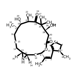 C/C(=C/C1=CSCN1C)[C@@H]1C[C@@H]2N[C@@H]2CCC[C@H](C)[C@H](O)[C@@H](C)C(=O)C(C)(C)[C@@H](O)CC(=O)O1